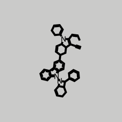 C#CC1=C(/C=C\C)N(C2=CC=CCC2)C2C=CC(c3ccc4c(c3)c3ccccc3n4N3C4C=CCCC4C3C3=CC=C=C=C3)CC12